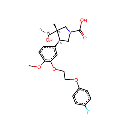 COc1ccc([C@@H]2CN(C(=O)O)C[C@@]2(C)[C@@H](C)O)cc1OCCOc1ccc(F)cc1